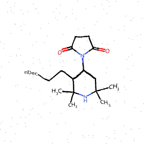 CCCCCCCCCCCCC1C(N2C(=O)CCC2=O)CC(C)(C)NC1(C)C